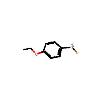 CCOc1ccc([SiH2]Br)cc1